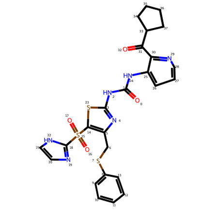 O=C(Nc1nc(CSc2ccccc2)c(S(=O)(=O)c2ncc[nH]2)s1)Nc1cccnc1C(=O)C1CCCC1